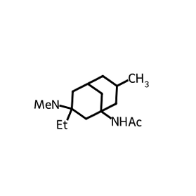 CCC1(NC)CC2CC(C)CC(NC(C)=O)(C2)C1